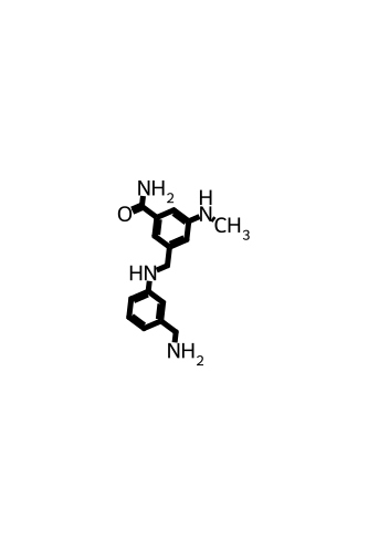 CNc1cc(CNc2cccc(CN)c2)cc(C(N)=O)c1